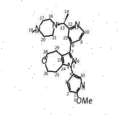 COc1ccc(-n2nc(-c3ccnc([C@H](C)N4CCN(C)CC4)c3)c3c2CCOCC3)cn1